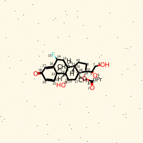 CCCC(=O)O[C@@]1(C(=O)CO)CC[C@H]2[C@@H]3CC(F)C4=CC(=O)C=C[C@]4(C)[C@H]3[C@@H](O)C[C@@]21C